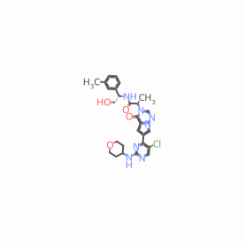 Cc1cccc([C@@H](CO)NC(=O)[C@@H](C)n2cnn3cc(-c4nc(NC5CCOCC5)ncc4Cl)cc3c2=O)c1